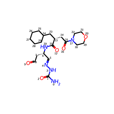 NC(=O)N/N=C/[C@H](CC=O)NC(=O)[C@@H](CC(=O)N1CCOCC1)CC1CCCCC1